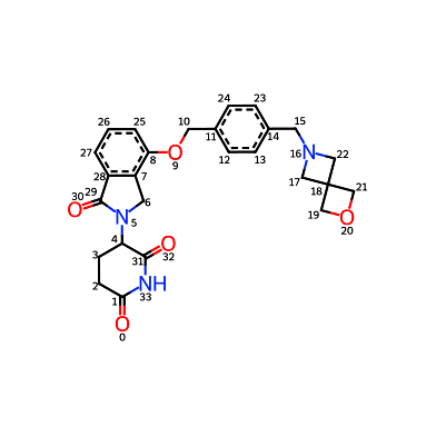 O=C1CCC(N2Cc3c(OCc4ccc(CN5CC6(COC6)C5)cc4)cccc3C2=O)C(=O)N1